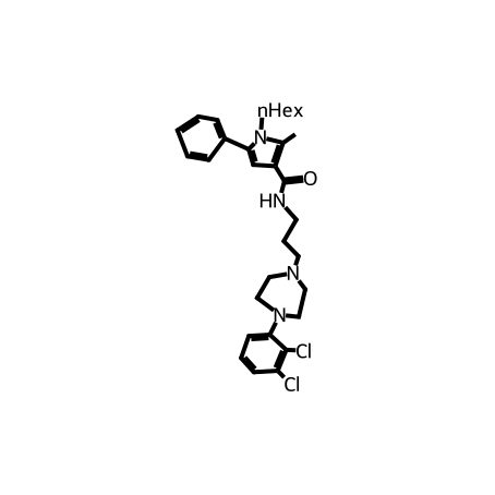 CCCCCCn1c(-c2ccccc2)cc(C(=O)NCCCN2CCN(c3cccc(Cl)c3Cl)CC2)c1C